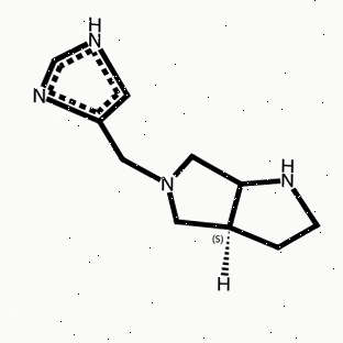 c1nc(CN2CC3NCC[C@H]3C2)c[nH]1